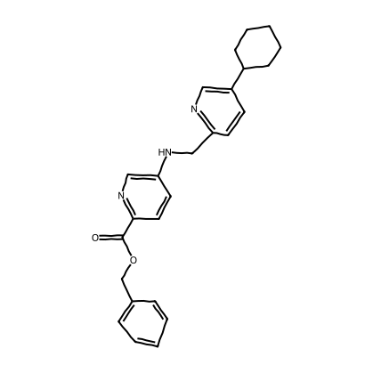 O=C(OCc1ccccc1)c1ccc(NCc2ccc(C3CCCCC3)cn2)cn1